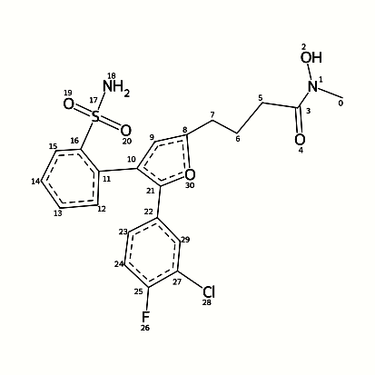 CN(O)C(=O)CCCc1cc(-c2ccccc2S(N)(=O)=O)c(-c2ccc(F)c(Cl)c2)o1